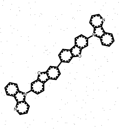 c1ccc2c(c1)c1ncccc1n2-c1ccc2c(c1)oc1cc(-c3ccc4c(c3)oc3cc(-n5c6ccccc6c6ncccc65)ccc34)ccc12